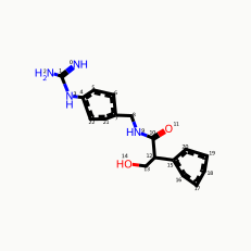 N=C(N)Nc1ccc(CNC(=O)C(CO)c2ccccc2)cc1